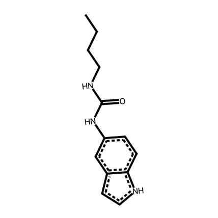 CCCCNC(=O)Nc1ccc2[nH]ccc2c1